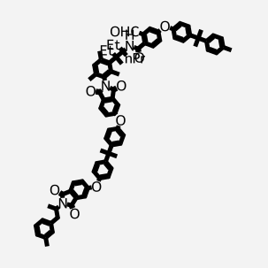 CCCC(CC)(NC(=O)c1ccc(Oc2ccc(C(C)(C)c3ccc(C)cc3)cc2)cc1C=O)C(C)(CC)c1c(C)cc(C)c(N2C(=O)c3ccc(Oc4ccc(C(C)(C)c5ccc(Oc6ccc7c(c6)C(=O)N(C(C)Cc6cccc(C)c6)C7=O)cc5)cc4)cc3C2=O)c1C